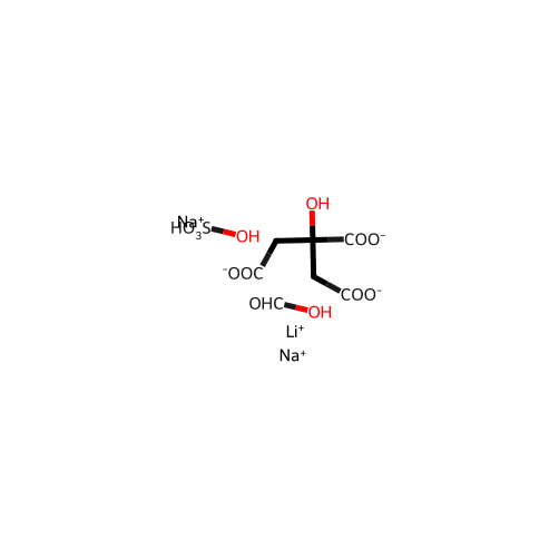 O=C([O-])CC(O)(CC(=O)[O-])C(=O)[O-].O=CO.O=S(=O)(O)O.[Li+].[Na+].[Na+]